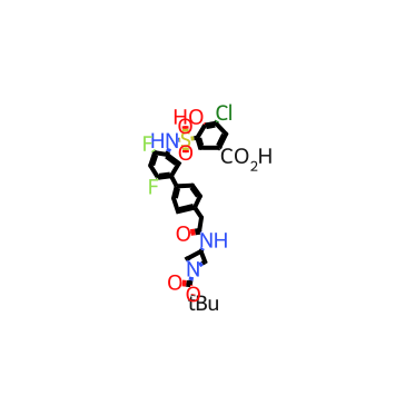 CC(C)(C)OC(=O)N1CC(NC(=O)Cc2ccc(-c3cc(NS(=O)(=O)c4cc(C(=O)O)cc(Cl)c4O)c(F)cc3F)cc2)C1